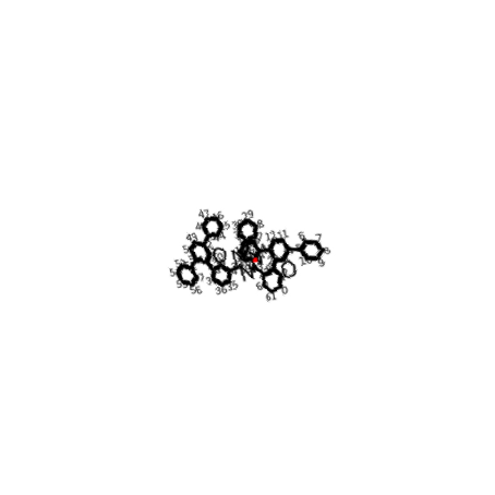 C1=c2oc3c(-c4ccccc4)ccc(-c4ccccc4)c3c2=C(c2nc(-c3ccccc3)nc(-c3cccc4c3oc3c(-c5ccccc5)ccc(-c5ccccc5)c34)n2)CC1